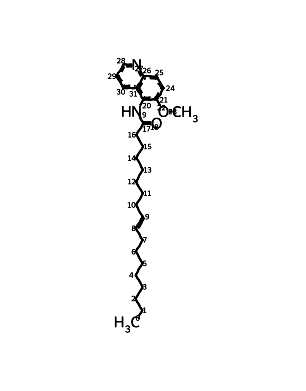 CCCCCCCC/C=C/CCCCCCCC(=O)Nc1c(OC)ccc2ncccc12